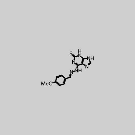 COc1ccc(C=NNc2nc(=S)[nH]c3[nH]cnc23)cc1